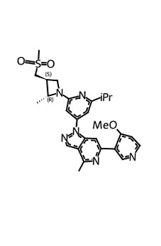 COc1ccncc1-c1cc2c(cnn2-c2cc(C(C)C)nc(N3C[C@H](CS(C)(=O)=O)[C@H]3C)c2)c(C)n1